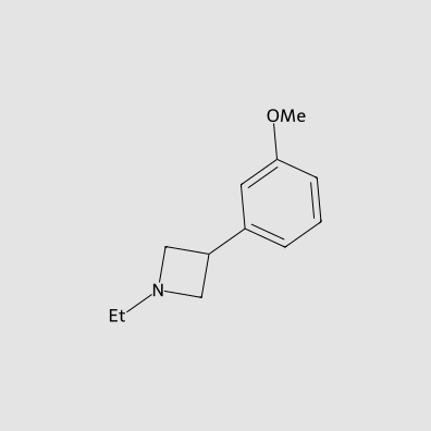 CCN1CC(c2cccc(OC)c2)C1